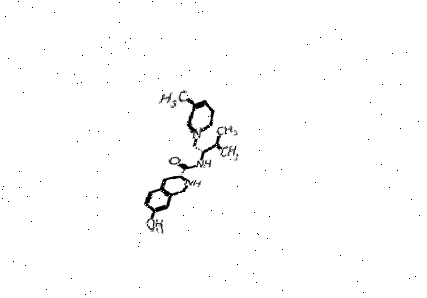 CC1=CCCN(C[C@@H](NC(=O)[C@H]2Cc3ccc(O)cc3CN2)C(C)C)C1